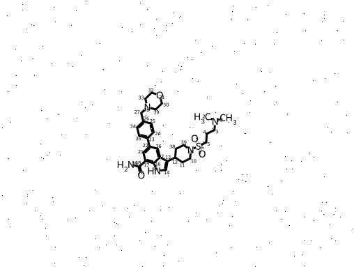 CN(C)CCCS(=O)(=O)N1CCC(c2c[nH]c3c(C(N)=O)cc(-c4ccc(CN5CCOCC5)cc4)cc23)CC1